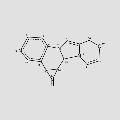 C1=CN2C(=CN3c4ccncc4C4NC4C23)CO1